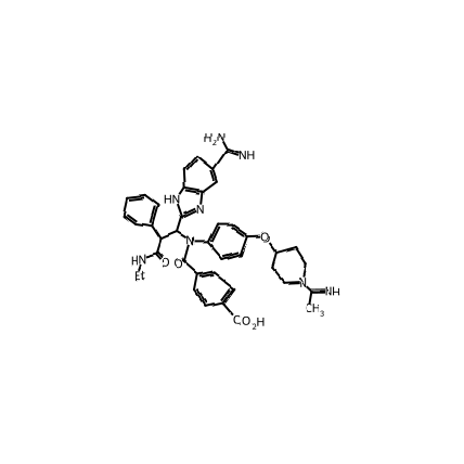 CCNC(=O)C(c1ccccc1)C(c1nc2cc(C(=N)N)ccc2[nH]1)N(C(=O)c1ccc(C(=O)O)cc1)c1ccc(OC2CCN(C(C)=N)CC2)cc1